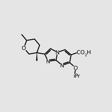 CC(C)Oc1nc2nc([C@@]3(C)CCC(C)OC3)cn2cc1C(=O)O